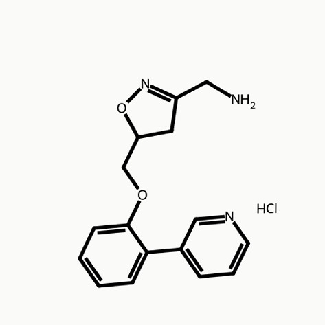 Cl.NCC1=NOC(COc2ccccc2-c2cccnc2)C1